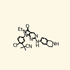 CCn1c(=O)c2cnc(Nc3ccc4c(c3)CCNC4)nc2n1-c1ccc(Cl)c(C(C)(C)C#N)c1